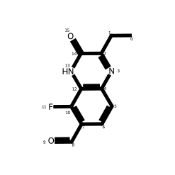 CCc1nc2ccc(C=O)c(F)c2[nH]c1=O